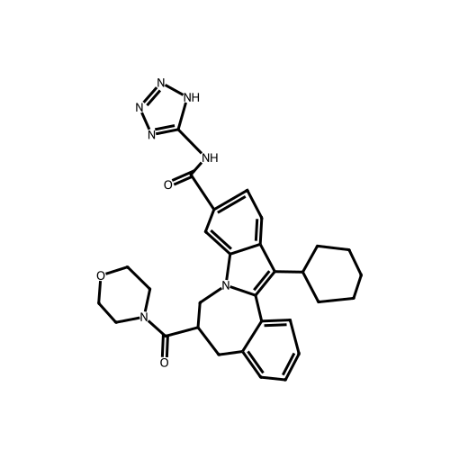 O=C(Nc1nnn[nH]1)c1ccc2c(C3CCCCC3)c3n(c2c1)CC(C(=O)N1CCOCC1)Cc1ccccc1-3